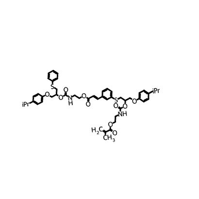 C=C(C)C(=O)OCCNC(=O)OC(COc1ccc(C(C)C)cc1)CSc1cccc(/C=C/C(=O)OCCNC(=O)OC(COc2ccc(C(C)C)cc2)CSc2ccccc2)c1